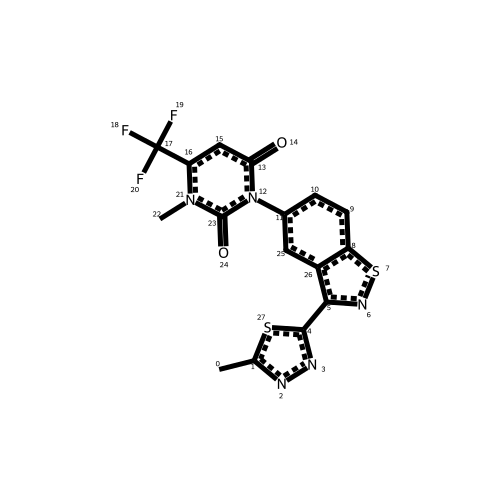 Cc1nnc(-c2nsc3ccc(-n4c(=O)cc(C(F)(F)F)n(C)c4=O)cc23)s1